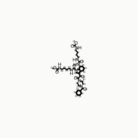 COC(=O)NCCCCNC(=O)Nc1cccc2c(C(=O)C(=O)N3CCN(C(=O)c4ccccc4)C[C@H]3C)cn(C(=O)NCCCCNC(=O)OC)c12